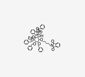 CCOC1(c2cn(S(=O)(=O)c3ccccc3)c3ccccc23)C(O)C(OCCCCCN2C(=O)c3ccccc3C2=O)C(OCc2ccccc2)C(OCc2ccccc2)C1OCc1ccccc1